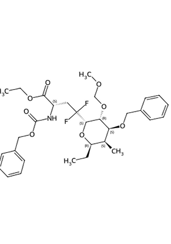 CCOC(=O)[C@H](CC(F)(F)[C@H]1O[C@H](CC)[C@H](C)[C@H](OCc2ccccc2)[C@H]1OCOC)NC(=O)OCc1ccccc1